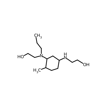 CCCN(CCO)C1CC(NCCO)CCC1C